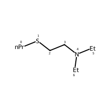 CCCSCCN(CC)CC